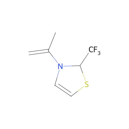 C=C(C)N1C=CSC1C(F)(F)F